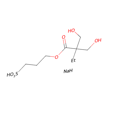 CCC(CO)(CO)C(=O)OCCCS(=O)(=O)O.[NaH]